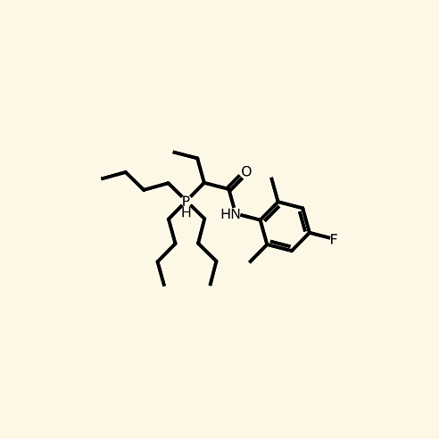 CCCC[PH](CCCC)(CCCC)C(CC)C(=O)Nc1c(C)cc(F)cc1C